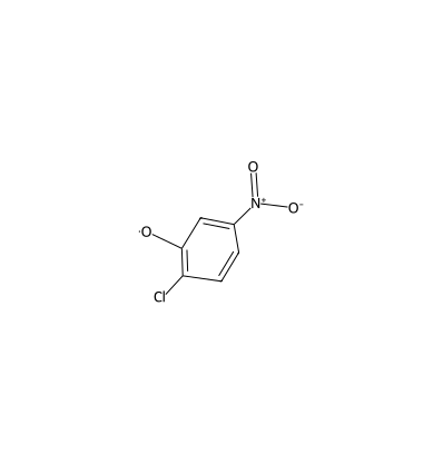 [O]c1cc([N+](=O)[O-])ccc1Cl